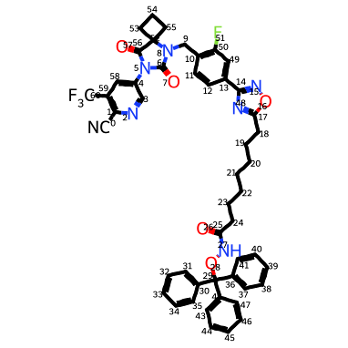 N#Cc1ncc(N2C(=O)N(Cc3ccc(-c4noc(CCCCCCCC(=O)NOC(c5ccccc5)(c5ccccc5)c5ccccc5)n4)cc3F)C3(CCC3)C2=O)cc1C(F)(F)F